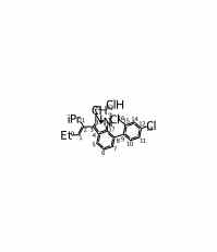 CCC=C(c1c2cccc(-c3ccc(Cl)cc3Cl)c2nn1C)C(C)C.Cl